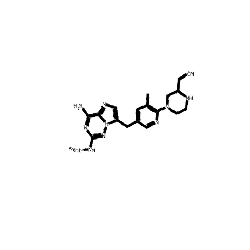 CCC[C@H](C)Nc1nc(N)c2ncc(Cc3cnc(N4CCNC(CC#N)C4)c(C)c3)n2n1